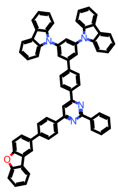 c1ccc(-c2nc(-c3ccc(-c4cc(-n5c6ccccc6c6ccccc65)cc(-n5c6ccccc6c6ccccc65)c4)cc3)cc(-c3ccc(-c4ccc5oc6ccccc6c5c4)cc3)n2)cc1